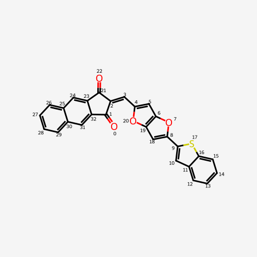 O=C1C(=Cc2cc3oc(-c4cc5ccccc5s4)cc3o2)C(=O)c2cc3ccccc3cc21